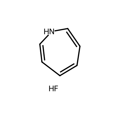 C1=CC=CNC=C1.F